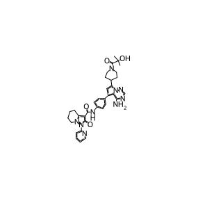 CC(C)(O)C(=O)N1CCC(c2cc(-c3ccc(NC(=O)c4c5n(n(-c6ccccn6)c4=O)CCCC5)cc3)c3c(N)ncnn23)CC1